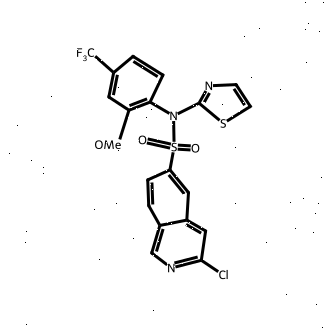 COc1cc(C(F)(F)F)ccc1N(c1nccs1)S(=O)(=O)c1ccc2cnc(Cl)cc2c1